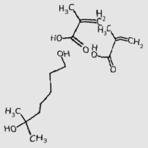 C=C(C)C(=O)O.C=C(C)C(=O)O.CC(C)(O)CCCCCO